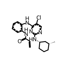 C=CC(=O)Nc1ccccc1Nc1nc(N[C@H]2CCC[C@@H](C)C2)ncc1Cl